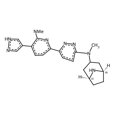 CNc1nc(-c2ccc(N(C)C3C[C@H]4CC[C@@H](C3)N4)nn2)ccc1-c1cn[nH]c1